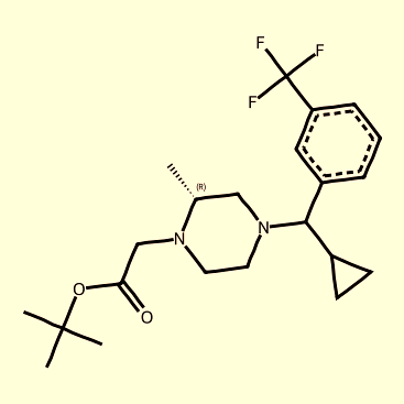 C[C@@H]1CN(C(c2cccc(C(F)(F)F)c2)C2CC2)CCN1CC(=O)OC(C)(C)C